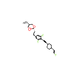 CCC[C@H]1CO[C@H](CCc2cc(F)c(C#CC3CCC(/C=C/F)CC3)c(F)c2)OC1